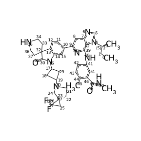 CC[C@H](C)n1cnc2cc(-c3ccc4c(c3)N(C3CC(N5CC[C@]6(C5)CC6(F)F)C3)C(=O)C43CCNCC3)nc(Nc3ccc(C)c(C(=O)NC)c3)c21